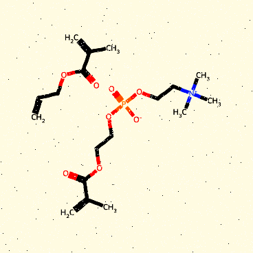 C=C(C)C(=O)OCCOP(=O)([O-])OCC[N+](C)(C)C.C=CCOC(=O)C(=C)C